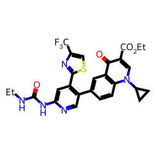 CCNC(=O)Nc1cc(-c2nc(C(F)(F)F)cs2)c(-c2ccc3c(c2)c(=O)c(C(=O)OCC)cn3C2CC2)cn1